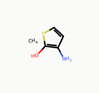 C.Nc1ccsc1O